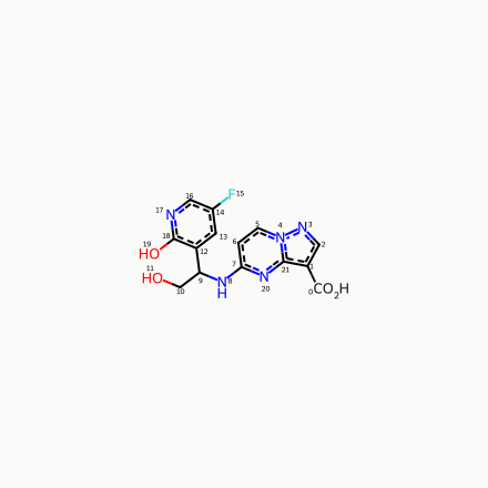 O=C(O)c1cnn2ccc(NC(CO)c3cc(F)cnc3O)nc12